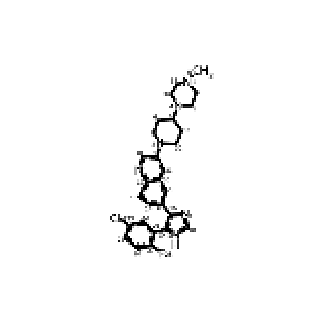 CN1CCN(C2CCN(c3cnc4ccc(-c5nc[nH]c5-c5cc(Cl)ccc5F)cc4c3)CC2)CC1